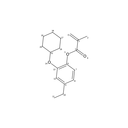 C=C(C)C(=O)Oc1ccc(CC)cc1OC1CCCCC1